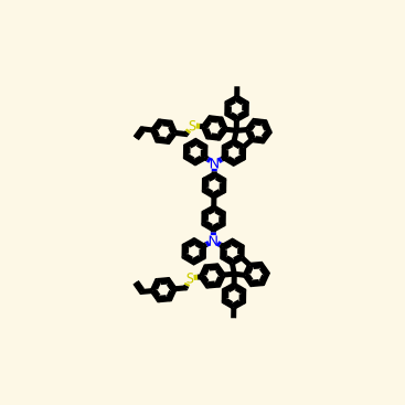 C=Cc1ccc(CSc2ccc(C3(c4ccc(C)cc4)c4ccccc4-c4ccc(N(c5ccccc5)c5ccc(-c6ccc(N(c7ccccc7)c7ccc8c(c7)C(c7ccc(C)cc7)(c7ccc(SCc9ccc(C=C)cc9)cc7)c7ccccc7-8)cc6)cc5)cc43)cc2)cc1